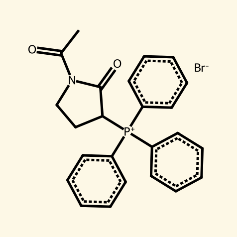 CC(=O)N1CCC([P+](c2ccccc2)(c2ccccc2)c2ccccc2)C1=O.[Br-]